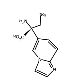 CC(C)(C)C[C@](N)(C(=O)O)c1ccc2nccn2c1